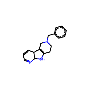 C1=CC2C3=C(CCN(Cc4ccccc4)C3)NC2N=C1